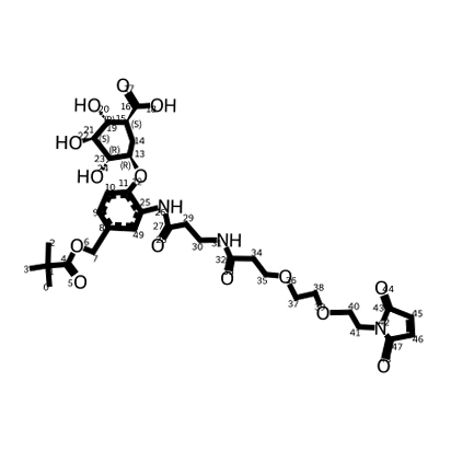 CC(C)(C)C(=O)OCc1ccc(O[C@@H]2C[C@H](C(=O)O)[C@@H](O)[C@H](O)[C@H]2O)c(NC(=O)CCNC(=O)CCOCCOCCN2C(=O)C=CC2=O)c1